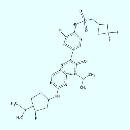 CC(C)n1c(=O)c(-c2ccc(NS(=O)(=O)CC3CC(F)(F)C3)c(F)c2)nc2cnc(NC3CCC(N(C)C)C(F)C3)nc21